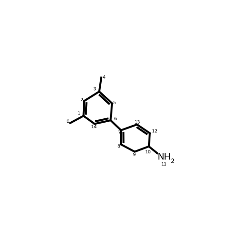 Cc1cc(C)cc(C2=CCC(N)C=C2)c1